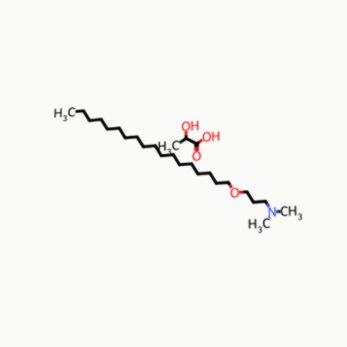 CC(O)C(=O)O.CCCCCCCCCCCCCCCCCCOCCCN(C)C